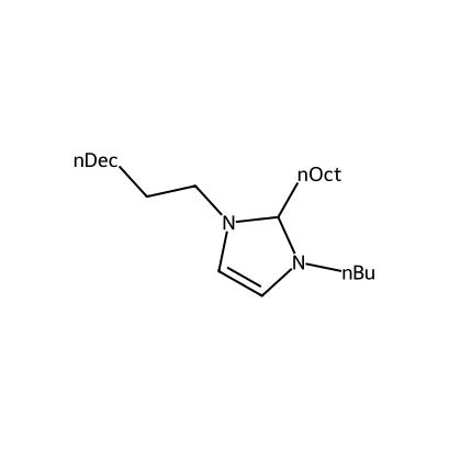 CCCCCCCCCCCCN1C=CN(CCCC)C1CCCCCCCC